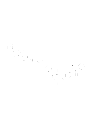 O=C1CCC(N2C(=O)c3ccc(N4CCN(C(=O)Cc5ccc(Nc6ncc(F)c(Nc7ccc(C(=O)Nc8ccccc8Cl)cc7)n6)cc5)CC4)cc3C2=O)C(=O)N1